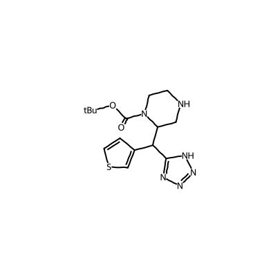 CC(C)(C)OC(=O)N1CCNCC1C(c1ccsc1)c1nnn[nH]1